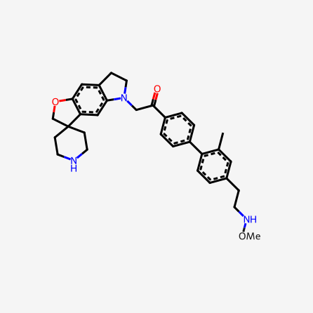 CONCCc1ccc(-c2ccc(C(=O)CN3CCc4cc5c(cc43)C3(CCNCC3)CO5)cc2)c(C)c1